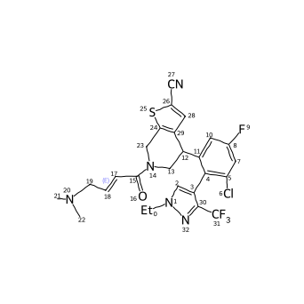 CCn1cc(-c2c(Cl)cc(F)cc2C2CN(C(=O)/C=C/CN(C)C)Cc3sc(C#N)cc32)c(C(F)(F)F)n1